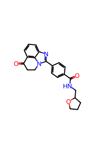 O=C(NCC1CCCO1)c1ccc(-c2nc3cccc4c3n2CCC4=O)cc1